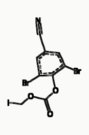 N#Cc1cc(Br)c(OC(=O)OCI)c(Br)c1